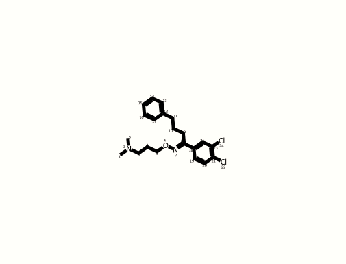 CN(C)CCCON=C(CCCc1ccccc1)c1ccc(Cl)c(Cl)c1